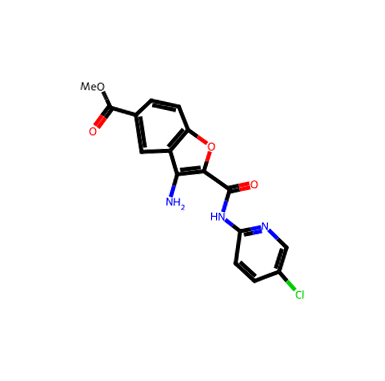 COC(=O)c1ccc2oc(C(=O)Nc3ccc(Cl)cn3)c(N)c2c1